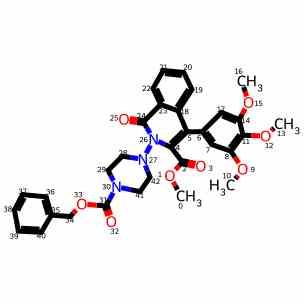 COC(=O)c1c(-c2cc(OC)c(OC)c(OC)c2)c2ccccc2c(=O)n1N1CCN(C(=O)OCc2ccccc2)CC1